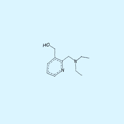 CCN(CC)Cc1ncccc1CO